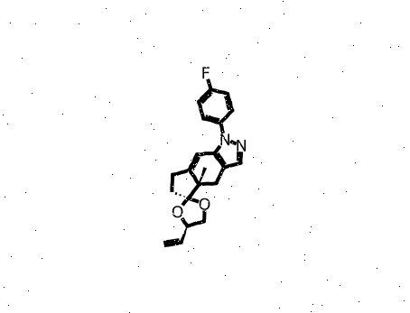 C=C[C@@H]1CO[C@@]2(CCC3=Cc4c(cnn4-c4ccc(F)cc4)C[C@@]32C)O1